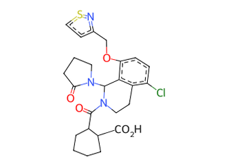 O=C(O)C1CCCCC1C(=O)N1CCc2c(Cl)ccc(OCc3ccsn3)c2C1N1CCCC1=O